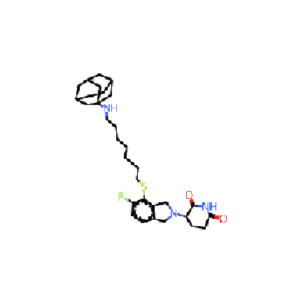 O=C1CCC(N2Cc3ccc(F)c(SCCCCCCCNC45CC6CC(CC(C6)C4)C5)c3C2)C(=O)N1